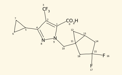 O=C(O)c1c(C(F)(F)F)c(C2CC2)nn1CC12CC1CC(F)(F)C2